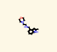 Cc1cc2c(CNCCN3CCOCC3)cccc2[nH]1